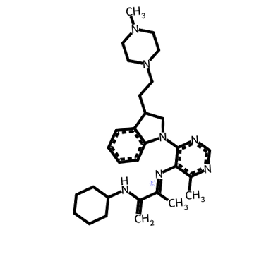 C=C(NC1CCCCC1)/C(C)=N/c1c(C)ncnc1N1CC(CCN2CCN(C)CC2)c2ccccc21